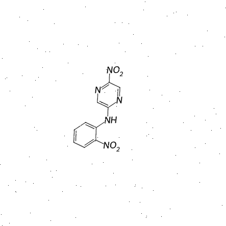 O=[N+]([O-])c1cnc(Nc2ccccc2[N+](=O)[O-])cn1